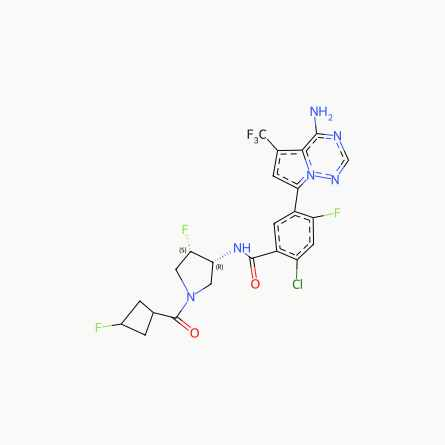 Nc1ncnn2c(-c3cc(C(=O)N[C@@H]4CN(C(=O)C5CC(F)C5)C[C@@H]4F)c(Cl)cc3F)cc(C(F)(F)F)c12